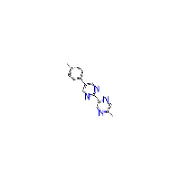 Cc1ccc(-c2cnc(-c3cnc(C)cn3)nc2)cc1